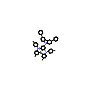 Cc1ccc(N2c3ccc(C)cc3B3c4cc(C)ccc4N(c4ccc(C)cc4)c4cc(-n5c6ccc(-c7ccccc7)cc6c6cc(-c7ccccc7)ccc65)cc2c43)cc1